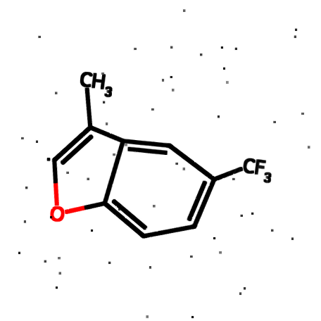 Cc1[c]oc2ccc(C(F)(F)F)cc12